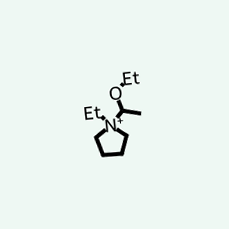 CCOC(C)[N+]1(CC)CCCC1